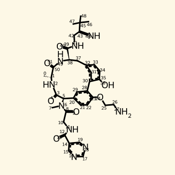 C[C@H]1NC(=O)[C@H](N(C)C(=O)CNC(=O)c2cncnc2)c2ccc(OCCN)c(c2)-c2cc(ccc2O)C[C@H](C(=O)NCC(=N)C(C)(C)C)NC1=O